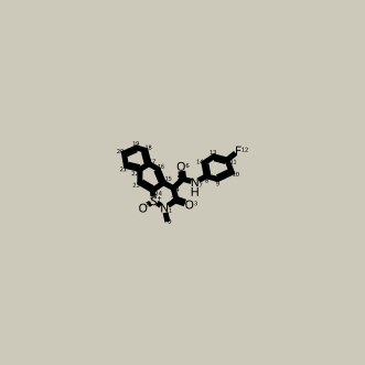 CN1C(=O)C(C(=O)Nc2ccc(F)cc2)c2cc3ccccc3cc2[S+]1[O-]